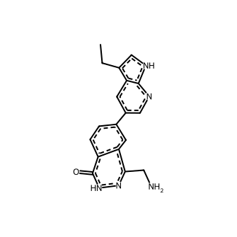 CCc1c[nH]c2ncc(-c3ccc4c(=O)[nH]nc(CN)c4c3)cc12